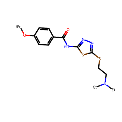 CCN(CC)CCSc1nnc(NC(=O)c2ccc(OC(C)C)cc2)s1